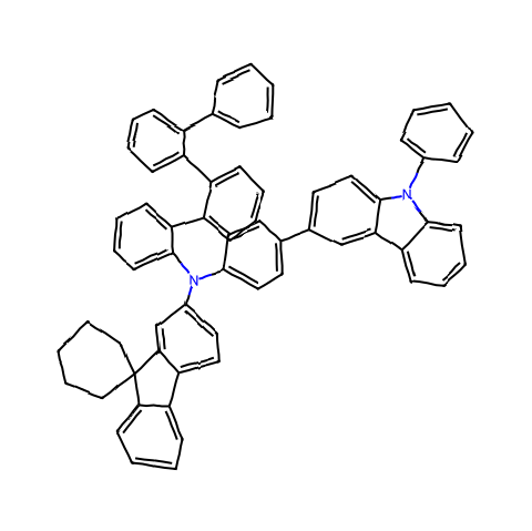 c1ccc(-c2ccccc2-c2ccccc2-c2ccccc2N(c2ccc(-c3ccc4c(c3)c3ccccc3n4-c3ccccc3)cc2)c2ccc3c(c2)C2(CCCCC2)c2ccccc2-3)cc1